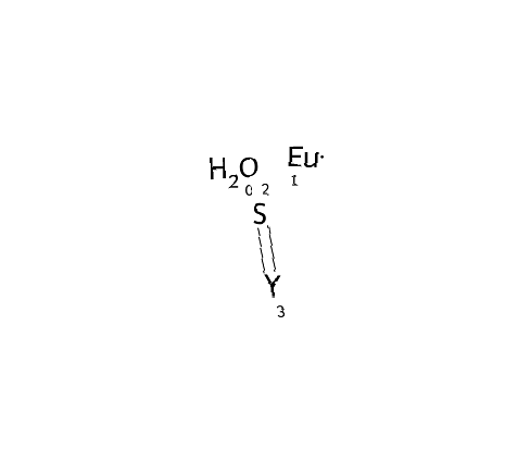 O.[Eu].[S]=[Y]